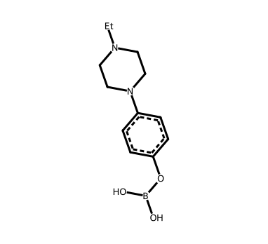 CCN1CCN(c2ccc(OB(O)O)cc2)CC1